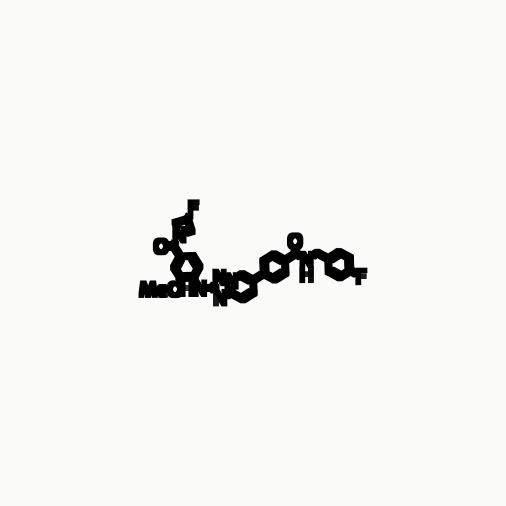 COc1cc(C(=O)N2CC(F)C2)ccc1Nc1nc2ccc(-c3ccc(C(=O)NCc4ccc(F)cc4)cc3)cn2n1